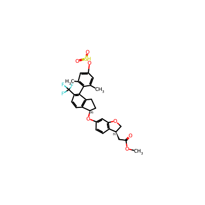 COC(=O)C[C@@H]1COc2cc(O[C@@H]3CCc4c3ccc(C(F)(F)F)c4-c3c(C)cc(O[SH](=O)=O)cc3C)ccc21